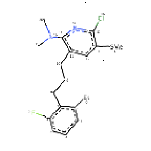 CCc1cccc(F)c1CCCc1cc(SC)c(Cl)nc1N(C)C